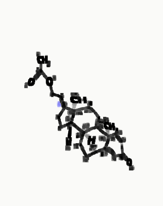 CC(=O)OC/C=C1\CC[C@H]2[C@@H]3CCC4=CC(=O)C=C[C@]4(C)C3=CC[C@]12C